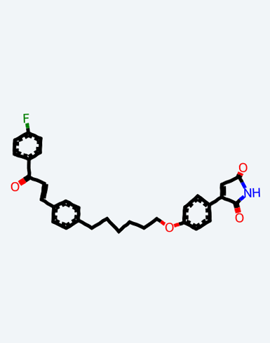 O=C1C=C(c2ccc(OCCCCCCc3ccc(C=CC(=O)c4ccc(F)cc4)cc3)cc2)C(=O)N1